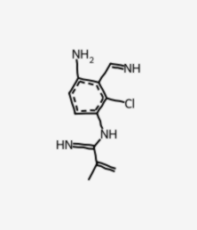 C=C(C)C(=N)Nc1ccc(N)c(C=N)c1Cl